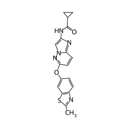 Cc1nc2ccc(Oc3ccc4nc(NC(=O)C5CC5)cn4n3)cc2s1